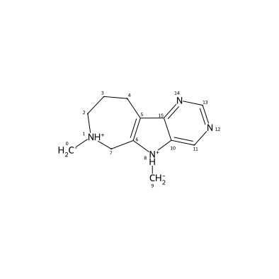 [CH2-][NH+]1CCCC2=C(C1)[NH+]([CH2-])c1cncnc12